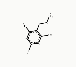 Fc1cc(F)c(SCC(F)(F)F)c(F)c1